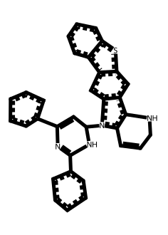 C1=Cc2c(c3cc4sc5ccccc5c4cc3n2C2C=C(c3ccccc3)N=C(c3ccccc3)N2)NC1